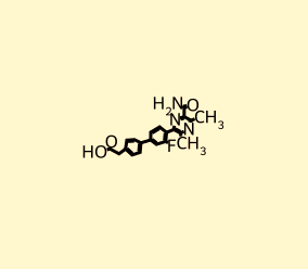 Cc1nc(C)c(-c2ccc(-c3ccc(CC(=O)O)cc3)cc2F)nc1C(N)=O